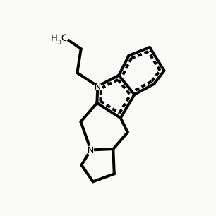 CCCn1c2c(c3ccccc31)CC1CCCN1C2